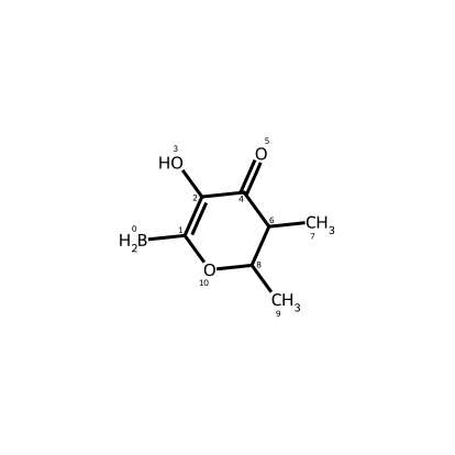 BC1=C(O)C(=O)C(C)C(C)O1